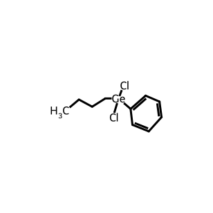 CCC[CH2][Ge]([Cl])([Cl])[c]1ccccc1